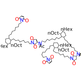 CCCCCCCCC1C(CCCCCC)CCC(CCCCCCCCN2C(=O)C=CC2=O)C1CCCCCCCCN1C(=O)C=C(N(CCCCCCCCC2C(CCCCCCCCN(C(C)=O)C3CC(=O)N(CCCCCCCCC4C(CCCCCCCCN5C(=O)C=CC5=O)CCC(CCCCCC)C4CCCCCCCC)C3=O)CCC(CCCCCC)C2CCCCCCCC)C(C)=O)C1=O